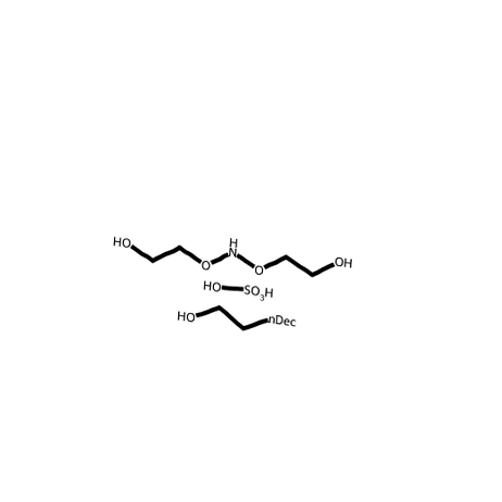 CCCCCCCCCCCCO.O=S(=O)(O)O.OCCONOCCO